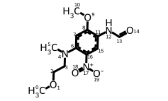 COCCN(C)c1cc(OC)c(NC=O)cc1[N+](=O)[O-]